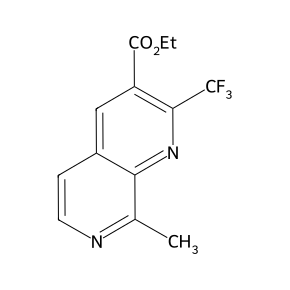 CCOC(=O)c1cc2ccnc(C)c2nc1C(F)(F)F